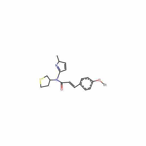 CCOc1ccc(/C=C/C(=O)N(C2=NC(C)C=C2)C2CCSC2)cc1